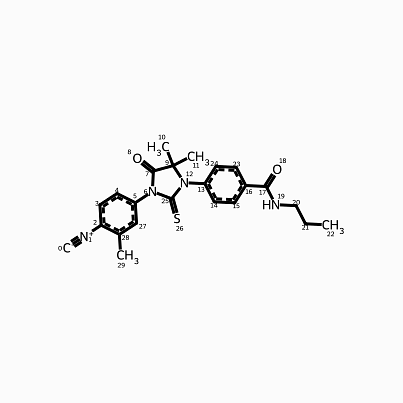 [C-]#[N+]c1ccc(N2C(=O)C(C)(C)N(c3ccc(C(=O)NCCC)cc3)C2=S)cc1C